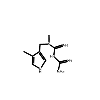 CNC(=N)NC(=N)N(C)Cc1c[nH]cc1C